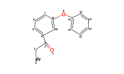 CC(C)CC(=O)c1cccc(Oc2ccccc2)c1